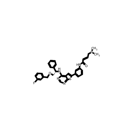 CN(C)C/C=C/C(=O)Nc1cccc(-c2cc3c(N[C@H](COCc4cccc(F)c4)c4ccccc4)ncnc3s2)c1